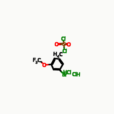 C.Cl.Cl.FC(F)(F)Oc1cccc(Br)c1.O=S(=O)(Cl)Cl